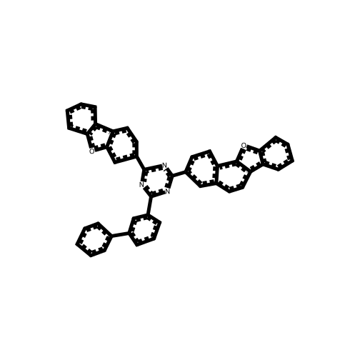 c1ccc(-c2cccc(-c3nc(-c4ccc5c(ccc6c7ccccc7oc56)c4)nc(-c4ccc5c(c4)oc4ccccc45)n3)c2)cc1